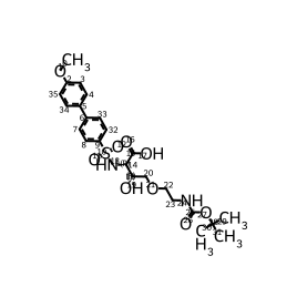 COc1ccc(-c2ccc(S(=O)(=O)N[C@@H](C(=O)O)[C@@H](O)COCCNC(=O)OC(C)(C)C)cc2)cc1